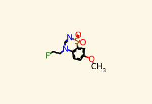 COc1ccc2c(c1)S(=O)(=O)N=CN2CCF